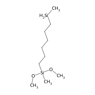 CO[Si](C)(CCCCCC[SiH2]C)OC